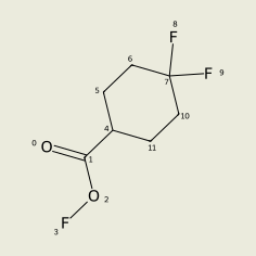 O=C(OF)C1CCC(F)(F)CC1